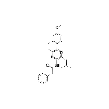 COc1ccc2c(c1)CCc1nc(NC(=O)Cc3ccccc3)c(CC(C)C)nc1-2